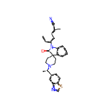 C=C/C(=C\C=C(/C)C#N)N1C(=O)C2(CCN([C@H](C)c3ccc4scnc4c3)CC2)c2ccccc21